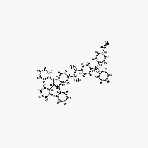 [2H]/C(=C(/[2H])c1ccc2c(-c3ccccc3)c(-c3ccccc3)n(-c3ccccc3)c2c1)c1ccc(N(c2ccccc2)c2ccc(C#N)cc2)cc1